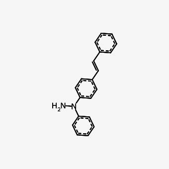 NN(c1ccccc1)c1ccc(/C=C/c2ccccc2)cc1